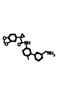 Cc1ccc(NC(=O)C2(c3ccc4c(c3)OCO4)CC2)cc1-c1cccc(CN)c1